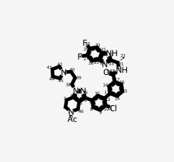 CC(=O)N1CCc2c(c(-c3ccc(Cl)c(-c4cccc(C(=O)N[C@@H](C)c5nc6cc(F)c(F)cc6[nH]5)c4)c3)nn2CCCN2CCCC2)C1